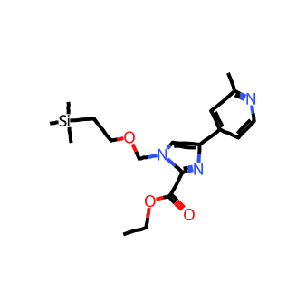 CCOC(=O)c1nc(-c2ccnc(C)c2)cn1COCC[Si](C)(C)C